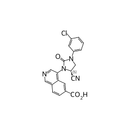 N#C[C@@H]1CN(c2cccc(Cl)c2)C(=O)N1c1cncc2ccc(C(=O)O)cc12